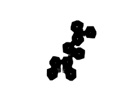 c1ccc(-n2c3ccccc3c3cc(-c4cccc5c4c4ccccc4n5-c4cc(-c5cccc6c5oc5ccccc56)c5sc6ccccc6c5c4)ccc32)cc1